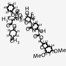 COc1cc(OC)c2oc(COC(=O)Nc3ccn(C4O[C@H](COP(=O)(N[C@@H](C)C(=O)OC5CCN(C)CC5)Oc5ccccc5)[C@@H](O)C4(F)F)c(=O)n3)cc2c1